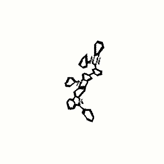 c1ccc(-c2nc3cc4c5cc(-c6cccc(-c7nc8ccccc8n7-c7ccccc7)c6)ccc5n(-c5ccccc5)c4cc3c3ccccc23)cc1